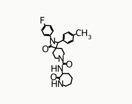 Cc1ccc(C2N(c3ccc(F)cc3)C(=O)C23CCN(C(=O)N[C@H]2CCCCNC2=O)CC3)cc1